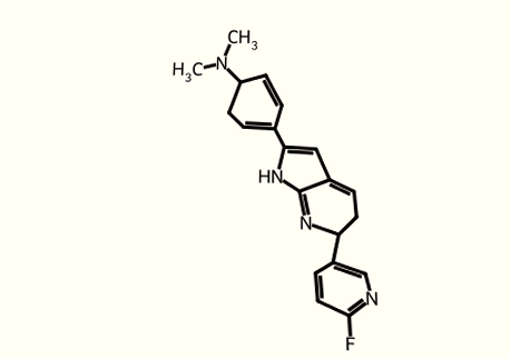 CN(C)C1C=CC(c2cc3c([nH]2)=NC(c2ccc(F)nc2)CC=3)=CC1